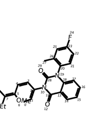 C\C=C(/C=C\C(OC)=C(/C)CC)n1c(=O)c2ccccc2n(-c2ccc(F)cc2C)c1=O